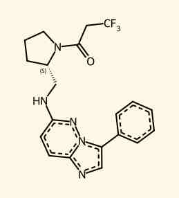 O=C(CC(F)(F)F)N1CCC[C@H]1CNc1ccc2ncc(-c3ccccc3)n2n1